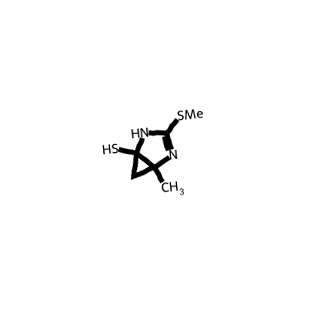 CSC1=NC2(C)CC2(S)N1